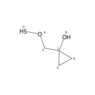 OC1(COS)CC1